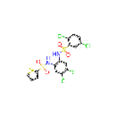 O=S(=O)(Nc1cc(Cl)c(Cl)cc1NS(=O)(=O)c1cc(Cl)ccc1Cl)c1cccs1